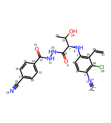 [C-]#[N+]c1ccc(N[C@@H](C(=O)NNC(=O)c2ccc(C#N)cc2)C(C)O)c(C=C)c1Cl